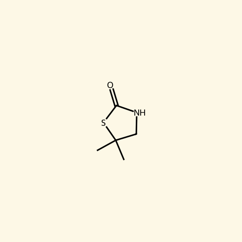 CC1(C)CNC(=O)S1